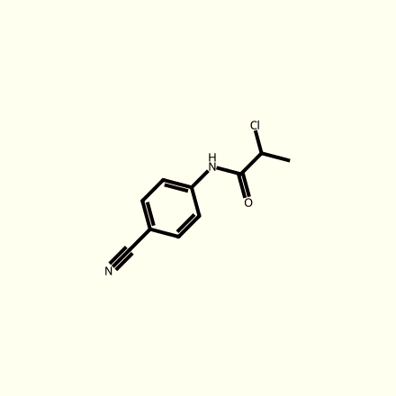 CC(Cl)C(=O)Nc1ccc(C#N)cc1